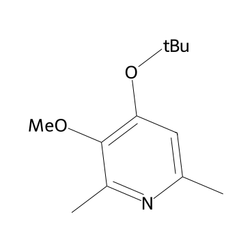 COc1c(OC(C)(C)C)cc(C)nc1C